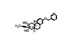 CC#C[C@]1(O)C[C@H]2CCc3cc(OCc4cccnc4)ccc3[C@]2(CC)C[C@@H]1O